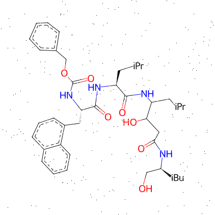 CCC(C)[C@@H](CO)NC(=O)CC(O)C(CC(C)C)NC(=O)[C@H](CC(C)C)NC(=O)[C@H](Cc1cccc2ccccc12)NC(=O)OCc1ccccc1